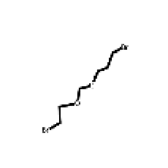 BrCCCOCOCCBr